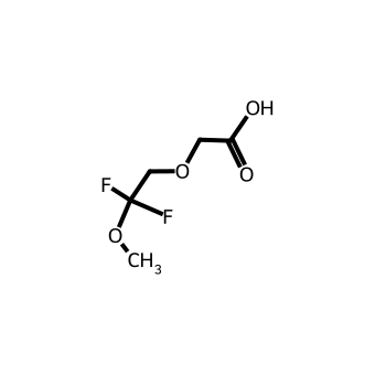 COC(F)(F)COCC(=O)O